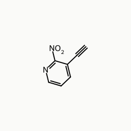 C#Cc1cccnc1[N+](=O)[O-]